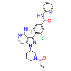 C=CC(=O)N1CCC[C@@H](n2nc(-c3ccc(C(=O)Nc4ccccn4)cc3Cl)c3c(N)nccc32)C1